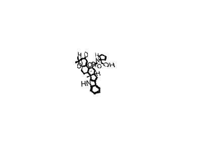 CC1(C)O[C@@]23CC[C@]4(C)[C@@]5(C)c6[nH]c7ccccc7c6C[C@@H]5C[C@H](OC(=O)NC5(CO)CCCC5)[C@@]4(O)C2=CC(=O)[C@@H]1O3